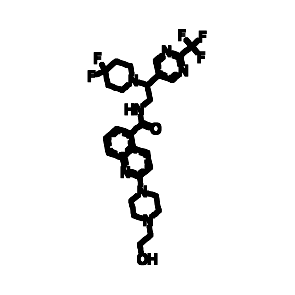 O=C(NCC(c1cnc(C(F)(F)F)nc1)N1CCC(F)(F)CC1)c1cccc2nc(N3CCN(CCO)CC3)ccc12